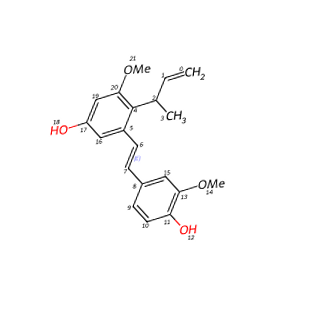 C=CC(C)c1c(/C=C/c2ccc(O)c(OC)c2)cc(O)cc1OC